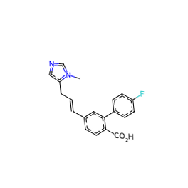 Cn1cncc1CC=Cc1ccc(C(=O)O)c(-c2ccc(F)cc2)c1